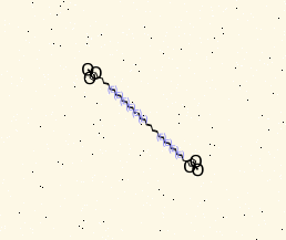 O=C1OCC(CC=C/C=C/C=C/C=C/C=C/C=C/C=C/C=CC=C/C=C/C=C/C=C/C=C/CC2COC(=O)O2)O1